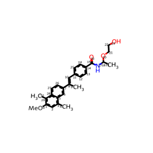 COc1cc(C)c2cc(/C(C)=C/c3ccc(C(=O)NC(C)OCCO)cc3)ccc2c1C